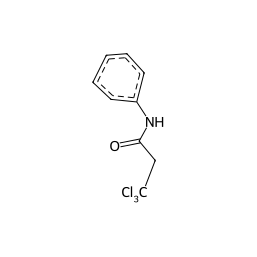 O=C(CC(Cl)(Cl)Cl)Nc1ccccc1